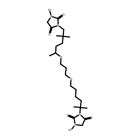 CCN1CC(=O)N(CC(C)(C)CCC(C)OCCCOCCCCC(C)(C)N2C(=S)CN(CC)C2=S)C1=O